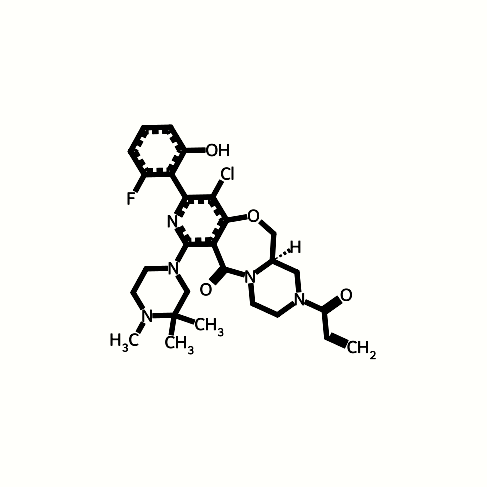 C=CC(=O)N1CCN2C(=O)c3c(N4CCN(C)C(C)(C)C4)nc(-c4c(O)cccc4F)c(Cl)c3OC[C@H]2C1